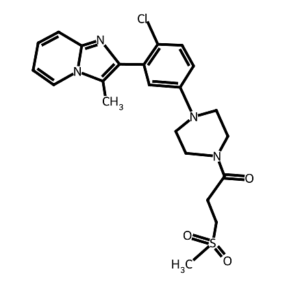 Cc1c(-c2cc(N3CCN(C(=O)CCS(C)(=O)=O)CC3)ccc2Cl)nc2ccccn12